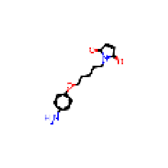 Nc1ccc(OCCCCCN2C(=O)C=CC2=O)cc1